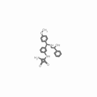 COc1ccc(C(NCC(O)c2ccccc2)c2cccc(Nc3c(N)c(=O)c3=O)c2)cc1